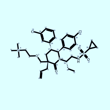 C=CC[C@@]1(COCC[Si](C)(C)C)C[C@H](c2cccc(Cl)c2)[C@@H](c2ccc(Cl)cc2)N([C@@H](CC)CNS(=O)(=O)C2CC2)C1=O